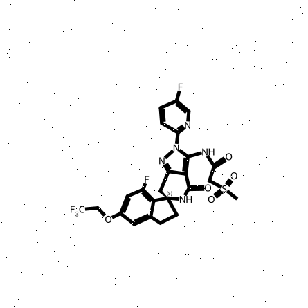 CS(=O)(=O)CC(=O)Nc1c2c(nn1-c1ccc(F)cn1)C[C@]1(CCc3cc(OCC(F)(F)F)cc(F)c31)NC2=O